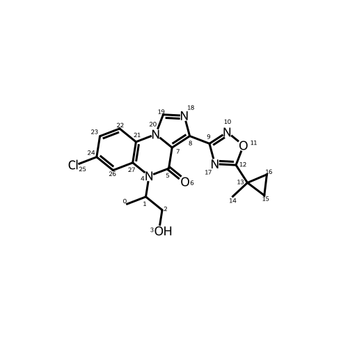 CC(CO)n1c(=O)c2c(-c3noc(C4(C)CC4)n3)ncn2c2ccc(Cl)cc21